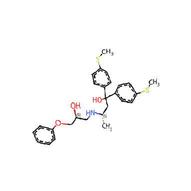 CSc1ccc(C(O)(C[C@H](C)NC[C@H](O)COc2ccccc2)c2ccc(SC)cc2)cc1